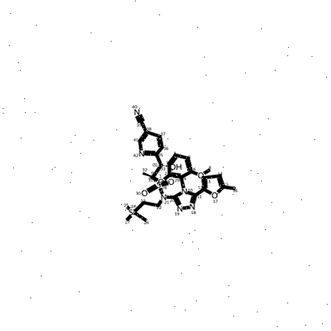 COc1cccc(OC)c1-n1c(-c2ccc(C)o2)nnc1N(CC[Si](C)(C)C)S(=O)(=O)[C@@H](C)[C@@H](O)c1ccc(C#N)cn1